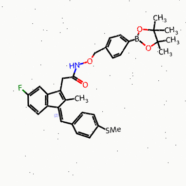 CSc1ccc(/C=C2\C(C)=C(CC(=O)NOCc3ccc(B4OC(C)(C)C(C)(C)O4)cc3)c3cc(F)ccc32)cc1